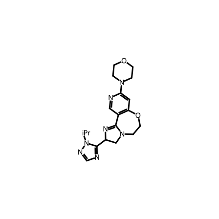 CC(C)n1ncnc1C1CN2CCOc3cc(N4CCOCC4)ncc3C2=N1